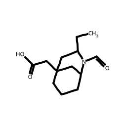 CCC1CC2(CC(=O)O)CCCC(C2)N1C=O